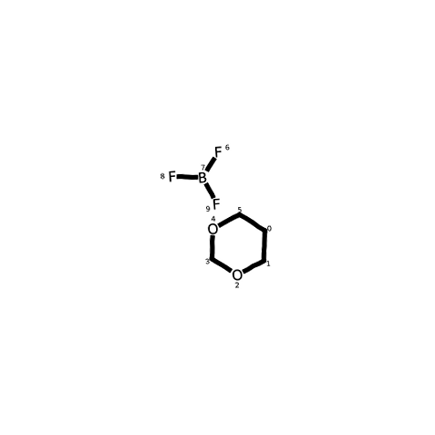 C1COCOC1.FB(F)F